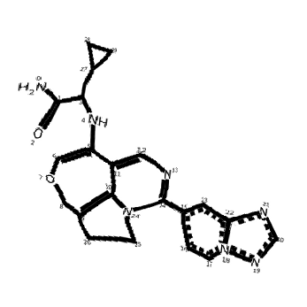 NC(=O)C(NC1=COCC2=C3C1=CN=C(c1ccn4ncnc4c1)N3CC2)C1CC1